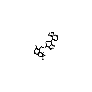 Fc1ccc2c(c1CNc1ncc(-c3cccn4cnnc34)c3nncn13)[C@H]1C[C@H]1O2